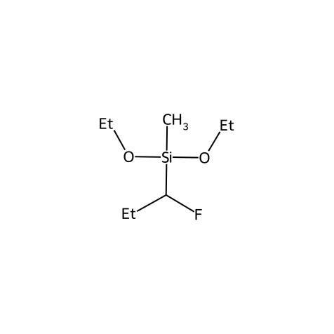 CCO[Si](C)(OCC)C(F)CC